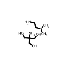 CN(C)CCN.NC(CO)(CO)CO